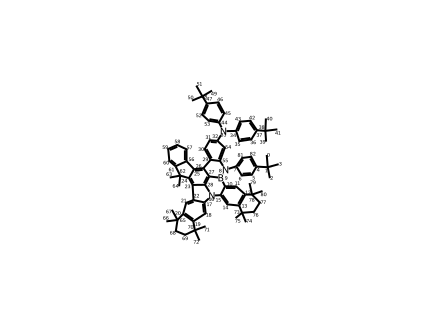 CC(C)(C)c1ccc(N2B3c4cc5c(cc4-n4c6cc7c(cc6c6c8c(c(c3c64)-c3ccc(N(c4ccc(C(C)(C)C)cc4)c4ccc(C(C)(C)C)cc4)cc32)-c2ccccc2C8(C)C)C(C)(C)CCC7(C)C)C(C)(C)CCC5(C)C)cc1